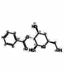 O=C(O[C@H]1[C@H](O)O[C@H](CO)C[C@@H]1O)c1ccccc1